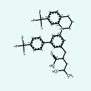 CC(C)CC(Cc1cc(-c2ccc(C(F)(F)F)cc2)cc(N2CCCc3ccc(C(F)(F)F)cc32)c1)C(=O)O